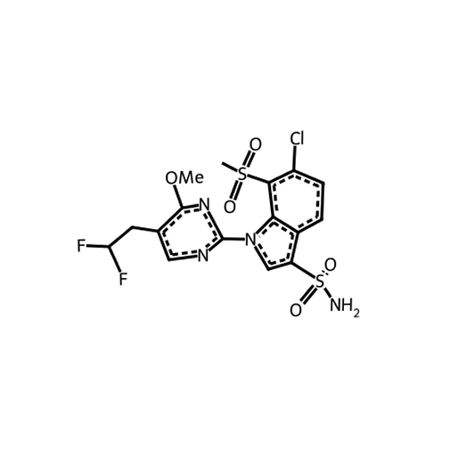 COc1nc(-n2cc(S(N)(=O)=O)c3ccc(Cl)c(S(C)(=O)=O)c32)ncc1CC(F)F